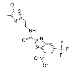 Cc1nc(CCNC(=O)c2nc3cc(C(F)(F)F)cc([N+](=O)[O-])c3s2)sc1Cl